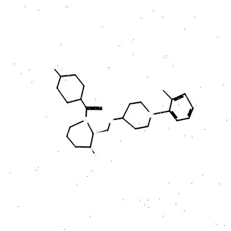 N[C@H]1CCCN(C(=O)C2CCC(F)CC2)[C@H]1COC1CCN(c2ccccc2F)CC1